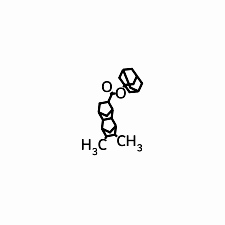 CC1C(C)C2CC1C1C3CC(C(=O)OC45CC6CC(CC(C6)C4)C5)C(C3)C21